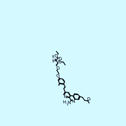 CCOP(=O)(OCC)C(F)(F)CCOCCOc1ccc(CCc2cnc3c(N)nc4cc(CCC(C)=O)ccc4c3c2)c(C)c1